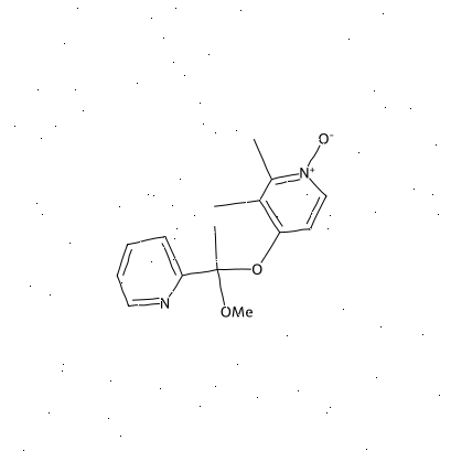 COC(C)(Oc1cc[n+]([O-])c(C)c1C)c1ccccn1